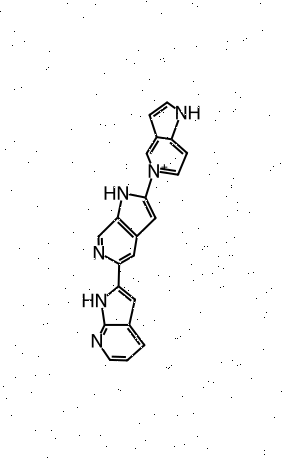 c1cnc2[nH]c(-c3cc4cc(-[n+]5ccc6[nH]ccc6c5)[nH]c4cn3)cc2c1